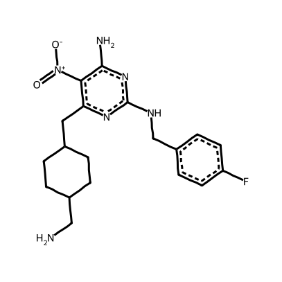 NCC1CCC(Cc2nc(NCc3ccc(F)cc3)nc(N)c2[N+](=O)[O-])CC1